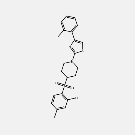 Cc1ccccc1-c1csc(N2CCC(S(=O)(=O)c3ccc(F)cc3Cl)CC2)n1